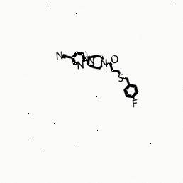 C[C@H]1CC2CN(C(=O)CCSCc3ccc(F)cc3)CC1N2c1ccc(C#N)cn1